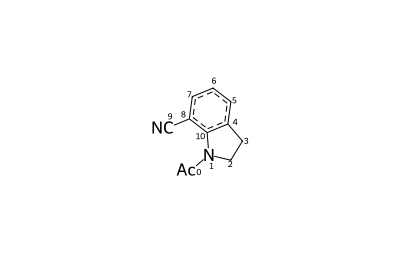 CC(=O)N1CCc2cccc(C#N)c21